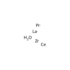 O.[Ce].[La].[Pr].[Zr]